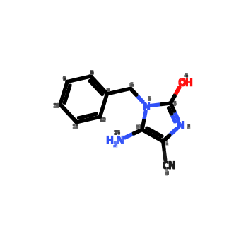 N#Cc1nc(O)n(Cc2ccccc2)c1N